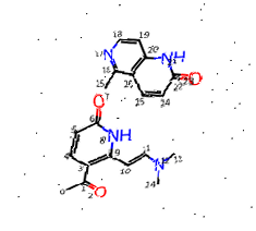 CC(=O)c1ccc(=O)[nH]c1C=CN(C)C.Cc1nccc2[nH]c(=O)ccc12